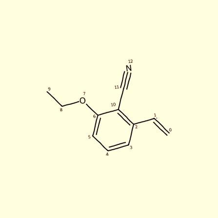 C=[C]c1cccc(OCC)c1C#N